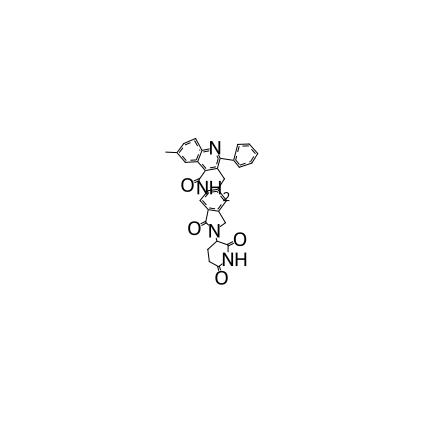 Cc1ccc2nc(-c3ccccc3)c(Cc3ccc4c(c3)CN(C3CCC(=O)NC3=O)C4=O)c(C(N)=O)c2c1